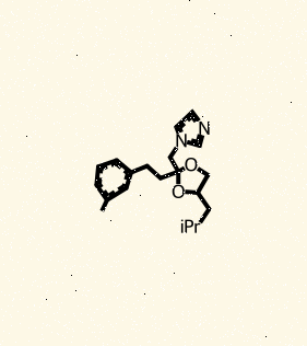 Cc1cccc(CCC2(Cn3ccnc3)OCC(CC(C)C)O2)c1